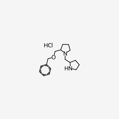 Cl.c1ccc(COCC2CCCN2CC2CCCN2)cc1